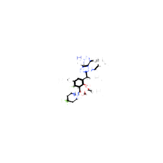 C=C(N)c1c(C)nc(C(C)c2cc(C)c(F)c(C(=O)N3CCC(F)(F)CC3)c2OC(C)C)n1/C=C\C